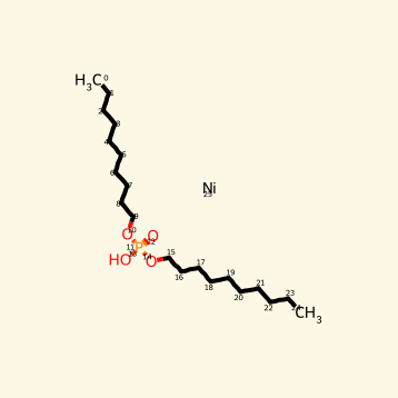 CCCCCCCCCCOP(=O)(O)OCCCCCCCCCC.[Ni]